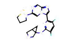 O=S1(=O)CCCN1c1cn2c(-c3nc(NC45CNCC4C5)c(F)cc3F)cnc2cn1